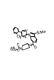 CSc1cn(-c2ncc(-c3ccccc3C#N)cn2)c2cc(C(=O)N3CCN(C(=O)OC(C)(C)C)CC3)ccc12